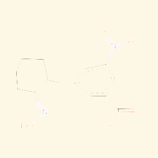 O=C(O)c1cccc([N+](=O)[O-])c1.ON=C1CCCCC1Cl